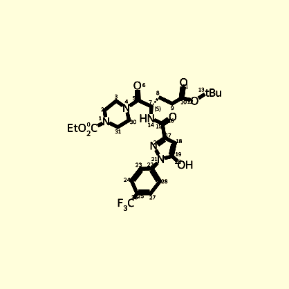 CCOC(=O)N1CCN(C(=O)[C@H](CCC(=O)OC(C)(C)C)NC(=O)c2cc(O)n(-c3ccc(C(F)(F)F)cc3)n2)CC1